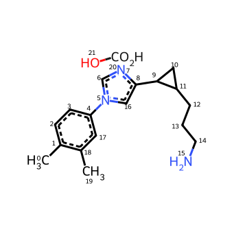 Cc1ccc(-n2cnc(C3CC3CCCN)c2)cc1C.O=C(O)O